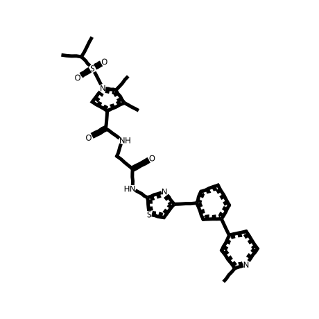 Cc1cc(-c2cccc(-c3csc(NC(=O)CNC(=O)c4cn(S(=O)(=O)C(C)C)c(C)c4C)n3)c2)ccn1